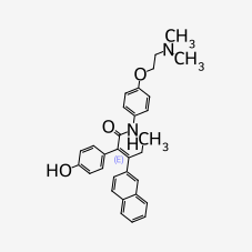 CC/C(=C(\C(=O)Nc1ccc(OCCN(C)C)cc1)c1ccc(O)cc1)c1ccc2ccccc2c1